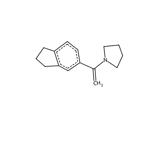 C=C(c1ccc2c(c1)CCC2)N1CCCC1